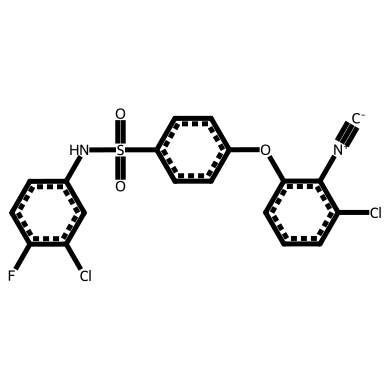 [C-]#[N+]c1c(Cl)cccc1Oc1ccc(S(=O)(=O)Nc2ccc(F)c(Cl)c2)cc1